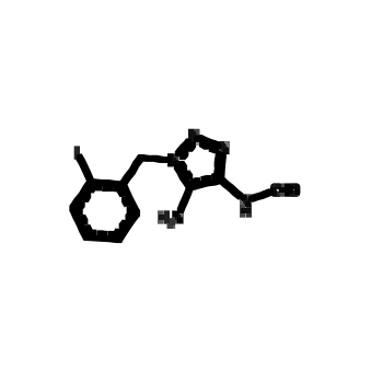 Nc1c(NC=O)nnn1Cc1ccccc1I